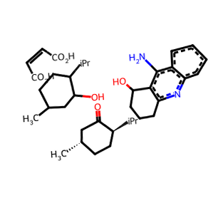 CC(C)[C@H]1CC[C@H](C)CC1=O.CC1CCC(C(C)C)C(O)C1.Nc1c2c(nc3ccccc13)CCCC2O.O=C(O)/C=C\C(=O)O